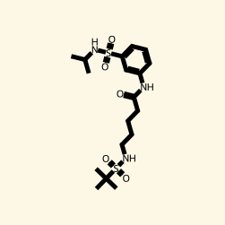 CC(C)NS(=O)(=O)c1cccc(NC(=O)CCCCNS(=O)(=O)C(C)(C)C)c1